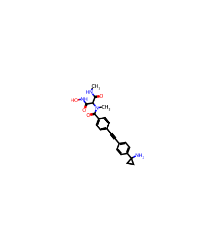 CNC(=O)C(C(=O)NO)N(C)C(=O)c1ccc(C#Cc2ccc(C3(N)CC3)cc2)cc1